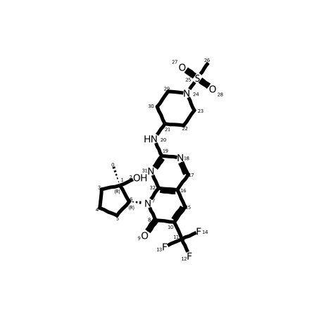 C[C@@]1(O)CCC[C@H]1n1c(=O)c(C(F)(F)F)cc2cnc(NC3CCN(S(C)(=O)=O)CC3)nc21